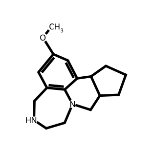 COc1cc2c3c(c1)C1CCCC1CN3CCNC2